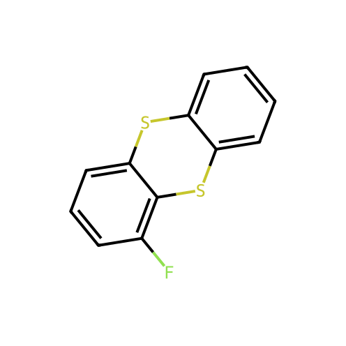 Fc1cccc2c1Sc1ccccc1S2